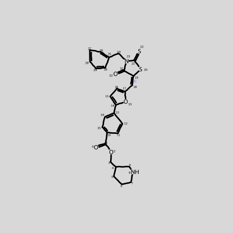 O=C(OCC1CCCNC1)c1ccc(-c2ccc(/C=C3/SC(=S)N(Cc4ccccc4)C3=O)o2)cc1